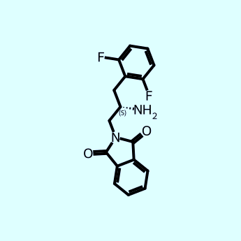 N[C@@H](Cc1c(F)cccc1F)CN1C(=O)c2ccccc2C1=O